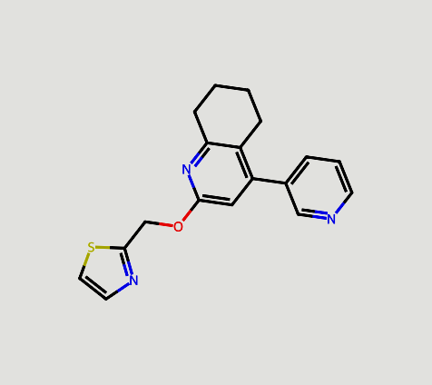 c1cncc(-c2cc(OCc3nccs3)nc3c2CCCC3)c1